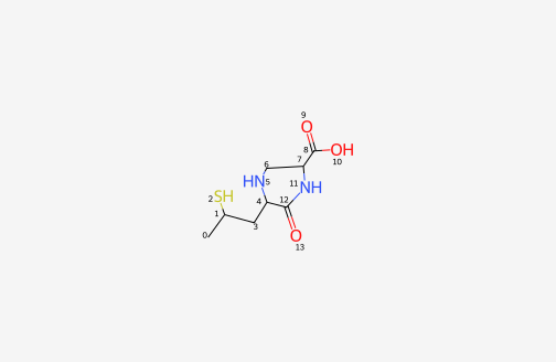 CC(S)CC1NCC(C(=O)O)NC1=O